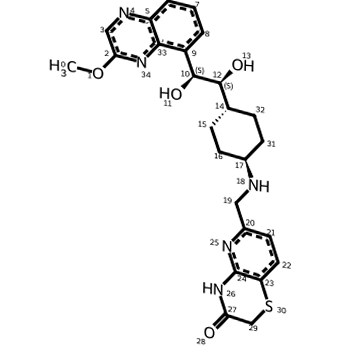 COc1cnc2cccc([C@H](O)[C@@H](O)[C@H]3CC[C@H](NCc4ccc5c(n4)NC(=O)CS5)CC3)c2n1